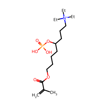 C=C(C)C(=O)OCCCCC(CCC[N+](CC)(CC)CC)OP(=O)(O)O